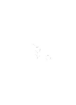 C[C@@H](Sc1ncccc1[N+](=O)[O-])[C@@H](NC(=O)OCc1ccccc1)C(=O)O